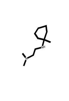 CN(C)CCNC1(C)CCCCC1